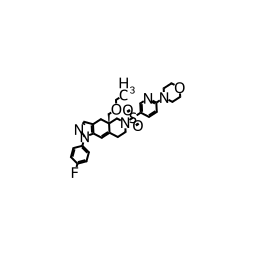 CCOC[C@]12Cc3cnn(-c4ccc(F)cc4)c3C=C1CCN(S(=O)(=O)c1ccc(N3CCOCC3)nc1)C2